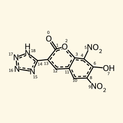 O=c1oc2c([N+](=O)[O-])c(O)c([N+](=O)[O-])cc2cc1-c1nnn[nH]1